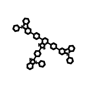 c1ccc(-n2c(-c3ccc(-c4nc5c(-c6ccc(-c7ccc8c(c7)c7ccccc7n8-c7ccccc7)cc6)ccc(-c6ccc(-c7ccc8c(c7)c7ccccc7n8-c7ccccc7)cc6)c5s4)cc3)nc3ccccc32)cc1